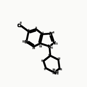 Clc1cc2nnn(C3CCNCC3)c2cn1